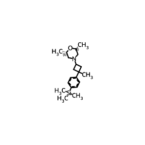 C[C@@H]1CN(C2CC(C)(c3ccc([Si](C)(C)C)cc3)C2)C[C@H](C)O1